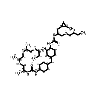 CCCCOCC(CC1CC1C)OC(=O)NC1CCC(CC2CCC(NC(=O)O[C@@H](C)CO[C@H](C)CO[C@@H](C)CO[C@H](C)CC)CC2)CC1